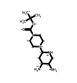 CC(C)(C)OC(=O)N1CCN(C2CC(N)C(N)CN2)CC1